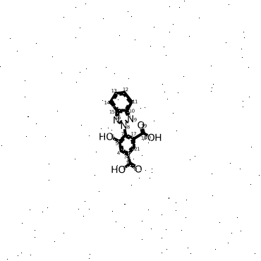 O=C(O)c1cc(O)c(-n2nc3ccccc3n2)c(C(=O)O)c1